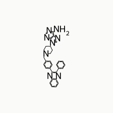 Nc1ncnc2c1ncn2C1CCN(Cc2ccc(-c3nc4ccccc4nc3-c3ccccc3)cc2)CC1